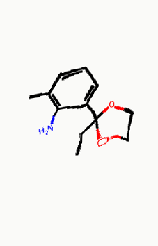 CCC1(c2cccc(C)c2N)OCCO1